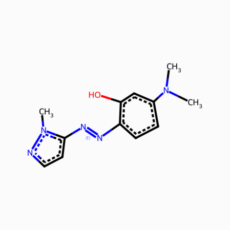 CN(C)c1ccc(/N=N/c2ccnn2C)c(O)c1